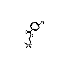 CCC1=CC=CC(C(=O)OCC[N+](C)(C)C)=CC1